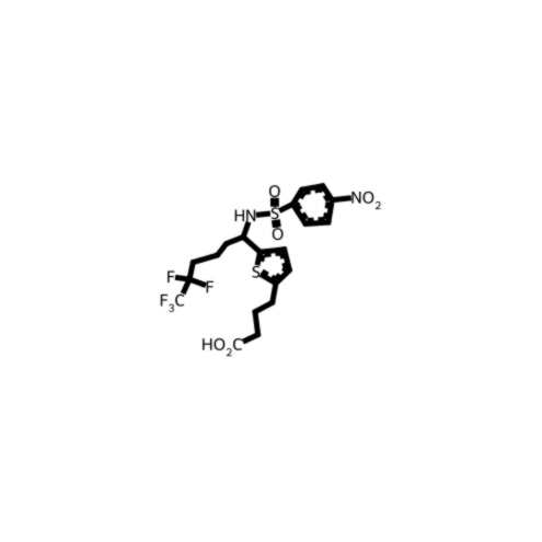 O=C(O)CCCc1ccc(C(CCCC(F)(F)C(F)(F)F)NS(=O)(=O)c2ccc([N+](=O)[O-])cc2)s1